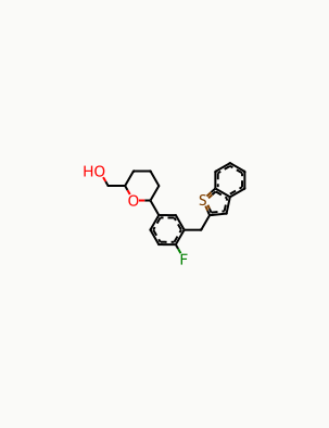 OCC1CCCC(c2ccc(F)c(Cc3cc4ccccc4s3)c2)O1